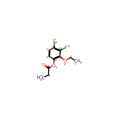 CCOc1c(OC(=O)CC)ccc(Br)c1F